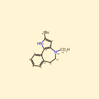 CC(C)(C)c1cc2c([nH]1)-c1ccccc1CCN2C(=O)O